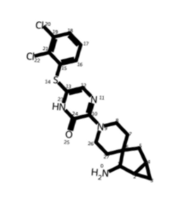 NC1C2CC2CC12CCN(c1ncc(Sc3cccc(Cl)c3Cl)[nH]c1=O)CC2